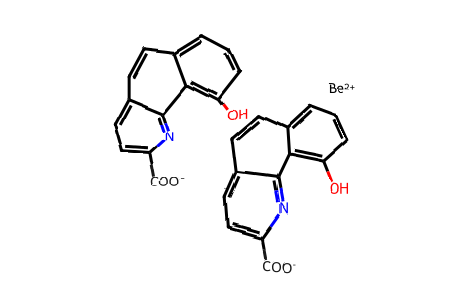 O=C([O-])c1ccc2ccc3cccc(O)c3c2n1.O=C([O-])c1ccc2ccc3cccc(O)c3c2n1.[Be+2]